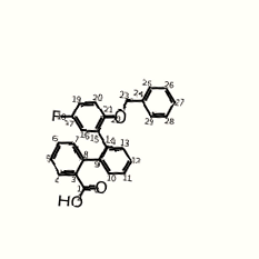 O=C(O)c1ccccc1-c1ccccc1-c1cc(F)ccc1OCc1ccccc1